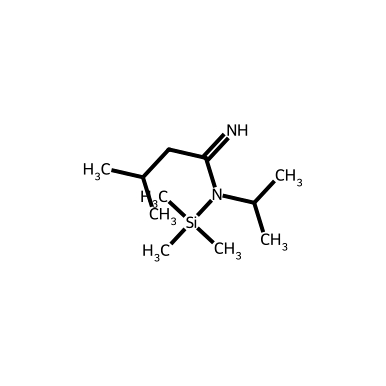 CC(C)CC(=N)N(C(C)C)[Si](C)(C)C